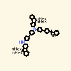 CCCCCCC1(CCCCCC)c2ccccc2-c2ccc(Nc3ccc(-c4ccc(N(c5ccc(-c6ccc(C(C)(CC(C)C)c7ccccc7)cc6)cc5)c5ccc6c(c5)C(CCCCCC)(CCCCCC)c5ccccc5-6)cc4)cc3)cc21